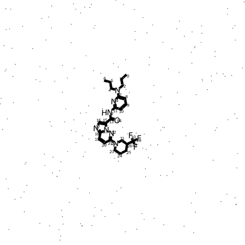 CCCN(CCC)c1cccc(NC(=O)c2cnc3ccc(N4CCCC(C(F)(F)F)C4)nn23)n1